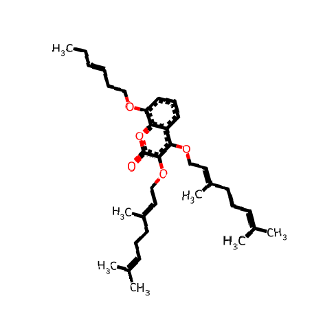 CCC=CCCOc1cccc2c(OC/C=C(\C)CCC=C(C)C)c(OC/C=C(\C)CCC=C(C)C)c(=O)oc12